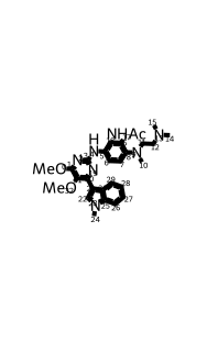 COc1nc(Nc2ccc(N(C)CCN(C)C)c(NC(C)=O)c2)nc(-c2cn(C)c3ccccc23)c1OC